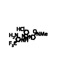 CNC(=O)C1CCCN(c2nc(Nc3cc(N)cc(C(F)(F)F)c3)nc3c2CCCC3)C1.Cl